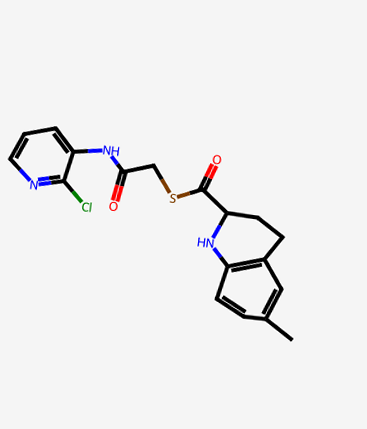 Cc1ccc2c(c1)CCC(C(=O)SCC(=O)Nc1cccnc1Cl)N2